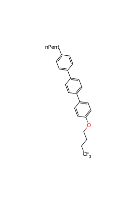 CCCCCc1ccc(-c2ccc(-c3ccc(OCCCC(F)(F)F)cc3)cc2)cc1